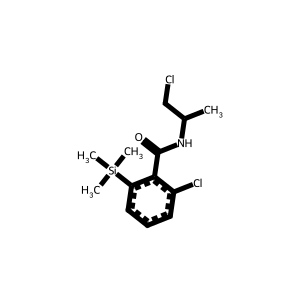 CC(CCl)NC(=O)c1c(Cl)cccc1[Si](C)(C)C